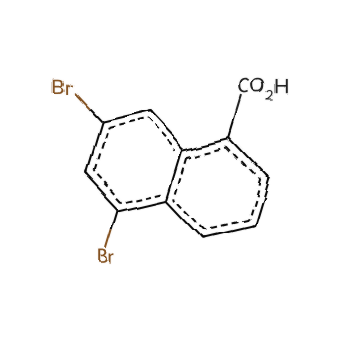 O=C(O)c1cccc2c(Br)cc(Br)cc12